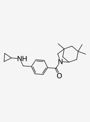 CC1(C)CC2CC(C)(CN2C(=O)c2ccc(CNC3CC3)cc2)C1